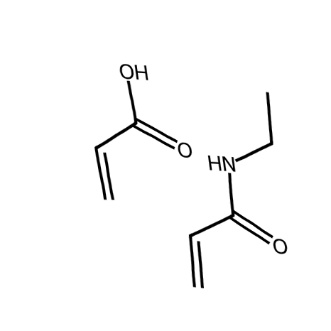 C=CC(=O)NCC.C=CC(=O)O